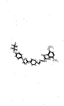 COc1ccc(C)c(NC(=S)N/N=C/C2CC=C(c3ncn(-c4ccc(OC(F)(F)C(F)(F)F)cc4)n3)CC2)c1C